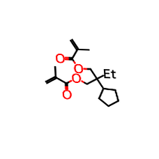 C=C(C)C(=O)OCC(CC)(COC(=O)C(=C)C)C1CCCC1